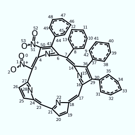 O=[N+]([O-])C1=C2N=C(C(c3ccccc3)=C3N=C(C=C4C=CC(=N4)C=C4C=CC1=N4)C(c1ccccc1)=C3c1ccccc1)C(c1ccccc1)=C2[N+](=O)[O-]